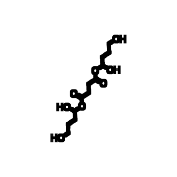 O=C(CCC(=O)OC(O)CCCO)OC(O)CCCO